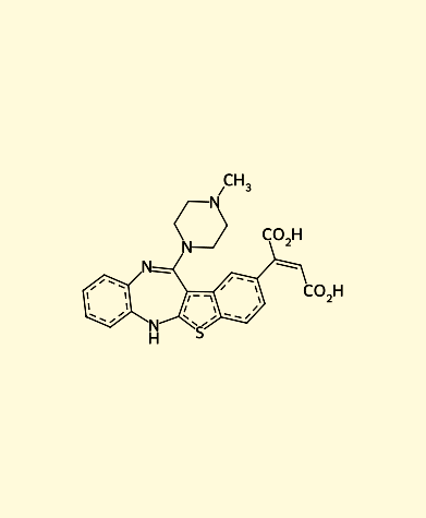 CN1CCN(C2=Nc3ccccc3Nc3sc4ccc(/C(=C\C(=O)O)C(=O)O)cc4c32)CC1